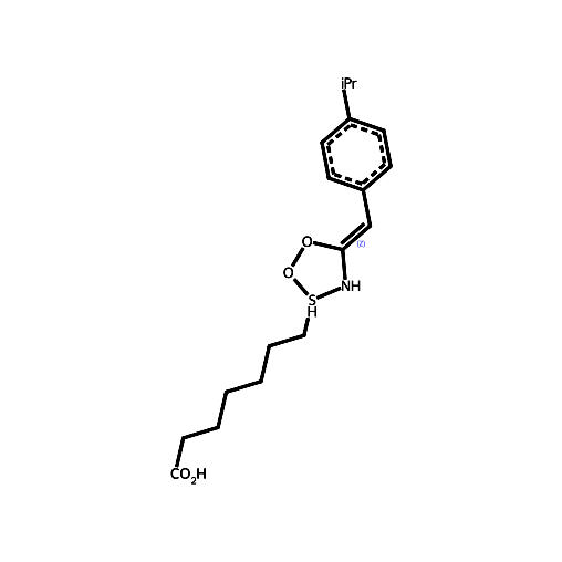 CC(C)c1ccc(/C=C2/N[SH](CCCCCCC(=O)O)OO2)cc1